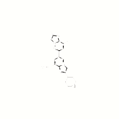 COc1cc(-c2cc(C)c3nc(C)cn3n2)cn2cc(C3CCNCC3)nc12